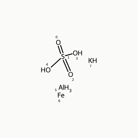 O=S(=O)(O)O.[AlH3].[Fe].[KH]